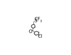 O=C(c1ccc(Cl)cc1)c1ccc(CSC(F)(F)F)cc1